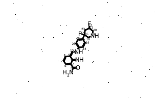 N=C1C(C(N)=O)=CC=C/C1=C/Nc1ccc(C2(F)CNCC(F)C2)cc1